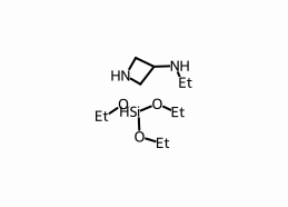 CCNC1CNC1.CCO[SiH](OCC)OCC